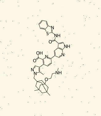 CNCCOC12CC3(C)CC(C)(CC(Cn4ncc(-c5ccc(-c6cnc7[nH]cc(C(=O)Nc8nc9ccccc9s8)c7c6)nc5C(=O)O)c4C)(C3)C1)C2